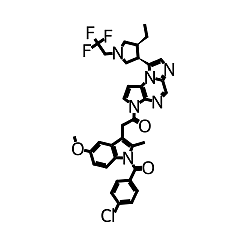 CC[C@@H]1CN(CC(F)(F)F)C[C@@H]1c1cnc2cnc3c(ccn3C(=O)Cc3c(C)n(C(=O)c4ccc(Cl)cc4)c4ccc(OC)cc34)n12